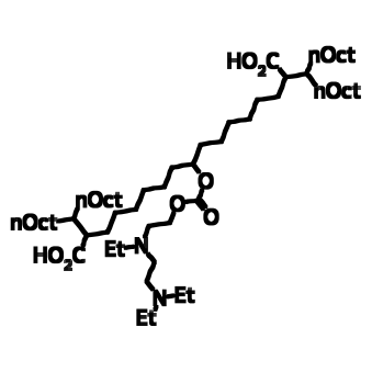 CCCCCCCCC(CCCCCCCC)C(CCCCCCC(CCCCCCC(C(=O)O)C(CCCCCCCC)CCCCCCCC)OC(=O)OCCN(CC)CCN(CC)CC)C(=O)O